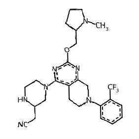 CN1CCCC1COc1nc2c(c(N3CCNC(CC#N)C3)n1)CCN(c1ccccc1C(F)(F)F)C2